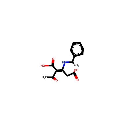 CC(=O)C(C(=O)O)=C(CC(=O)O)NC(C)c1ccccc1